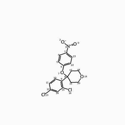 O=[N+]([O-])c1ccc(OC2(c3ccc(Cl)cc3Cl)CCOCC2)cc1